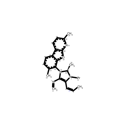 C=NC1=C(/C=C\C)N(C(C)C)[C@H](C)N1c1c(C)ccc2c1oc1nc(C)ccc12